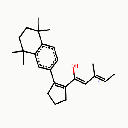 C/C=C(\C)C=C(O)C1=C(c2ccc3c(c2)C(C)(C)CCC3(C)C)CCC1